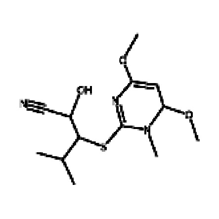 COC1=CC(OC)N(C)C(SC(C(C)C)C(O)C#N)=N1